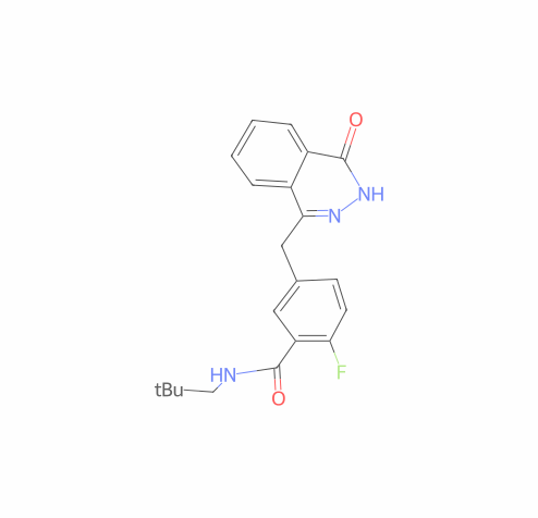 [CH2]C(C)(C)CNC(=O)c1cc(Cc2n[nH]c(=O)c3ccccc23)ccc1F